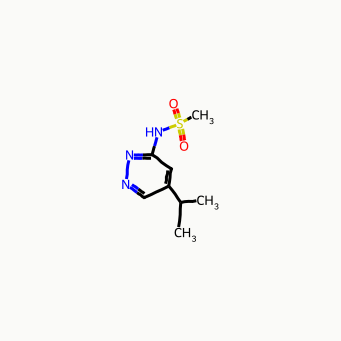 CC(C)c1cnnc(NS(C)(=O)=O)c1